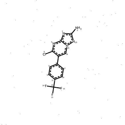 Nc1nc2nc(Cl)c(-c3ccc(C(F)(F)F)cc3)cn2n1